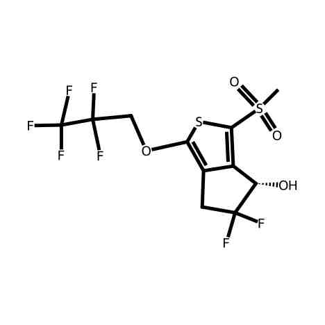 CS(=O)(=O)c1sc(OCC(F)(F)C(F)(F)F)c2c1[C@H](O)C(F)(F)C2